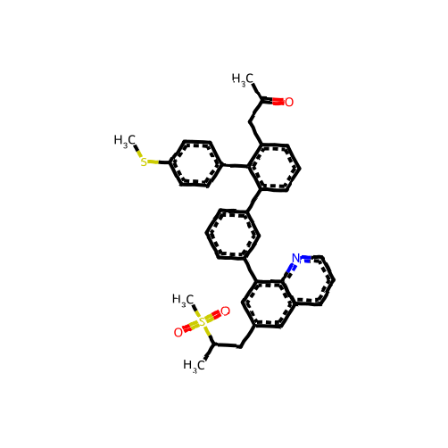 CSc1ccc(-c2c(CC(C)=O)cccc2-c2cccc(-c3cc(CC(C)S(C)(=O)=O)cc4cccnc34)c2)cc1